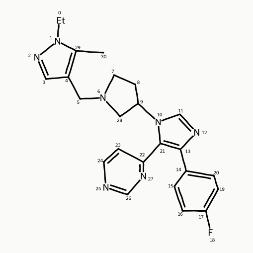 CCn1ncc(CN2CCC(n3cnc(-c4ccc(F)cc4)c3-c3ccncn3)C2)c1C